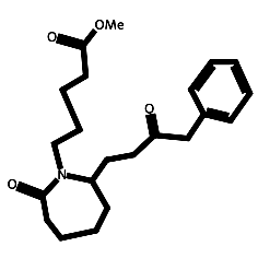 COC(=O)CCCCN1C(=O)CCCCC1CCC(=O)Cc1ccccc1